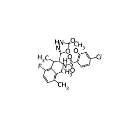 COc1cc(Cl)ccc1S(=O)(=O)NC(c1n[nH]c(=O)o1)C(C)c1c(F)ccc(C)c1C